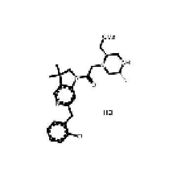 COC[C@H]1CN[C@H](C)CN1CC(=O)N1CC(C)(C)c2cnc(Cc3ccccc3Cl)cc21.Cl